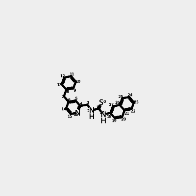 S=C(NCc1cc(Cc2ccccc2)ccn1)Nc1ccc2ccccc2c1